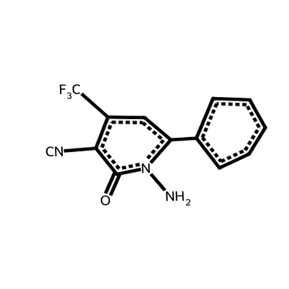 [C-]#[N+]c1c(C(F)(F)F)cc(-c2ccccc2)n(N)c1=O